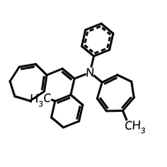 CC1=CCC=C(N(/C(=C/C2=CCCCC=C2)C2=C(C)CCC=C2)c2ccccc2)C=C1